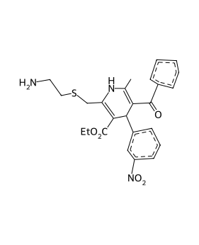 CCOC(=O)C1=C(CSCCN)NC(C)=C(C(=O)c2ccccc2)C1c1cccc([N+](=O)[O-])c1